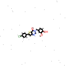 COc1cc(Cn2cnc3cc(-c4ccc(Cl)cc4)sc3c2=O)ccc1O